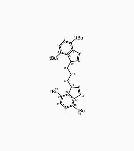 CC(C)(C)c1ccc(C(C)(C)C)c2c1C=CC2CCCC1C=Cc2c(C(C)(C)C)ccc(C(C)(C)C)c21